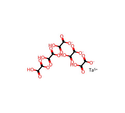 O=C([O-])C(=O)O.O=C([O-])C(=O)O.O=C([O-])C(=O)O.O=C([O-])C(=O)O.O=C([O-])C(=O)O.[Ta+5]